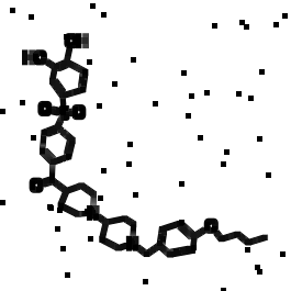 CCCCOc1ccc(CN2CCC(N3CCC(C(=O)c4ccc(S(=O)(=O)c5ccc(O)c(O)c5)cc4)CC3)CC2)cc1